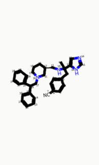 CC(Cc1ccc(C#N)cc1)(NC[C@@H]1CCCN(CC(c2ccccc2)c2ccccc2)C1)c1cnc[nH]1